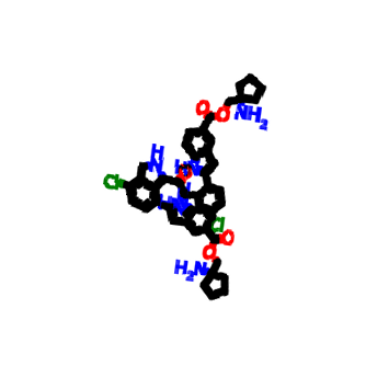 NC1(COC(=O)c2ccc3[nH]c(-c4ccc(Cl)c5c4C(C(=O)C4NCc6c(Cl)ccc(-c7cc8cc(C(=O)OCC9(N)CCCC9)ccc8[nH]7)c64)NC5)cc3c2)CCCC1